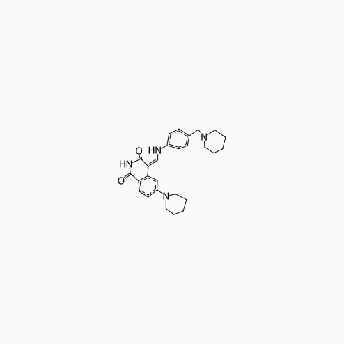 O=C1NC(=O)c2ccc(N3CCCCC3)cc2/C1=C/Nc1ccc(CN2CCCCC2)cc1